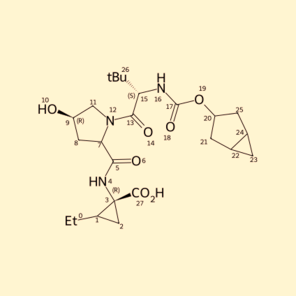 CCC1C[C@]1(NC(=O)C1C[C@@H](O)CN1C(=O)[C@@H](NC(=O)OC1CC2CC2C1)C(C)(C)C)C(=O)O